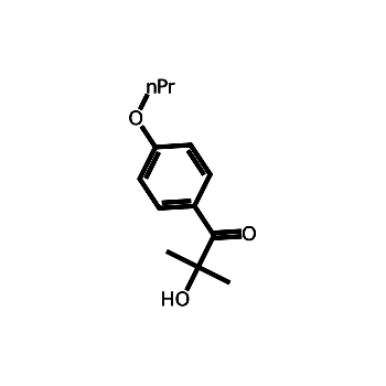 CCCOc1ccc(C(=O)C(C)(C)O)cc1